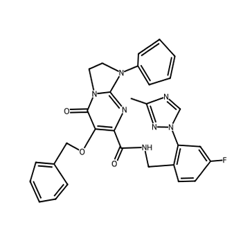 Cc1ncn(-c2cc(F)ccc2CNC(=O)c2nc3n(c(=O)c2OCc2ccccc2)CCN3c2ccccc2)n1